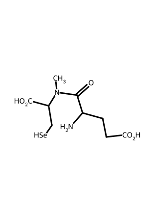 CN(C(=O)C(N)CCC(=O)O)C(C[SeH])C(=O)O